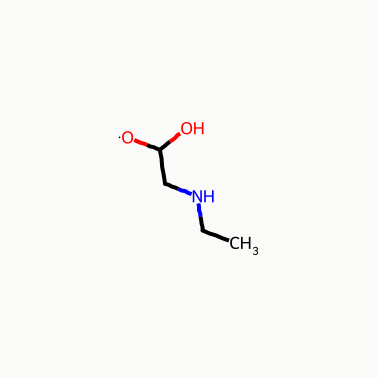 CCNCC([O])O